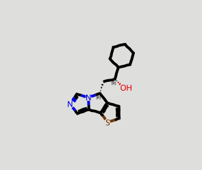 O[C@H](C[C@@H]1c2ccsc2-c2cncn21)C1CCCCC1